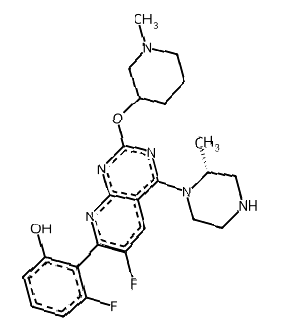 C[C@@H]1CNCCN1c1nc(OC2CCCN(C)C2)nc2nc(-c3c(O)cccc3F)c(F)cc12